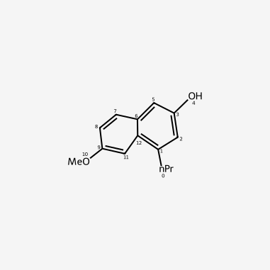 CCCc1cc(O)cc2ccc(OC)cc12